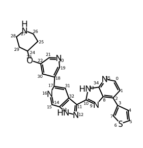 c1cc(-c2ccsc2)c2nc(-c3n[nH]c4cnc(-c5cncc(OC6CCNCC6)c5)cc34)[nH]c2n1